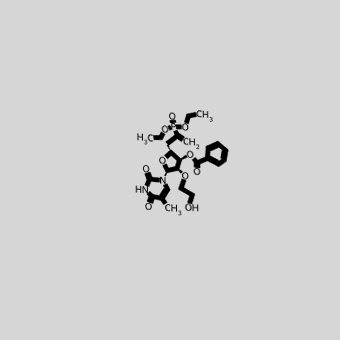 C=C(C[C@H]1O[C@@H](n2cc(C)c(=O)[nH]c2=O)[C@H](OCCO)[C@@H]1OC(=O)c1ccccc1)P(=O)(OCC)OCC